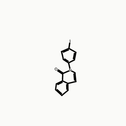 O=c1c2ccccc2ccn1-c1ccc(I)cc1